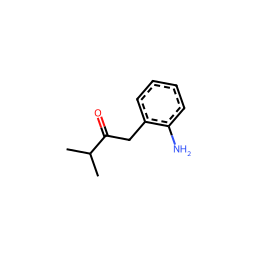 CC(C)C(=O)Cc1ccccc1N